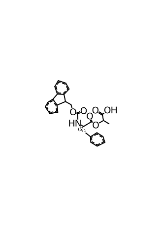 CC(OC(=O)[C@H](Cc1ccccc1)NC(=O)OCC1c2ccccc2-c2ccccc21)C(=O)O